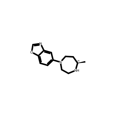 C[C@@H]1CCN(c2ccc3ocnc3c2)CCN1